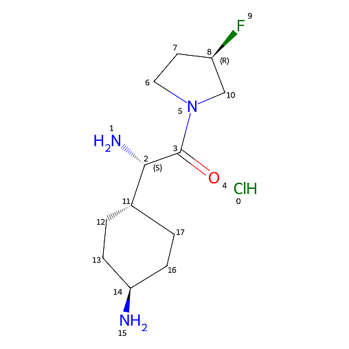 Cl.N[C@H](C(=O)N1CC[C@@H](F)C1)[C@H]1CC[C@H](N)CC1